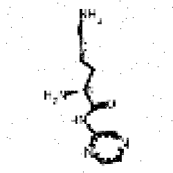 NCCCC[C@H](N)C(=O)Nc1cnccn1